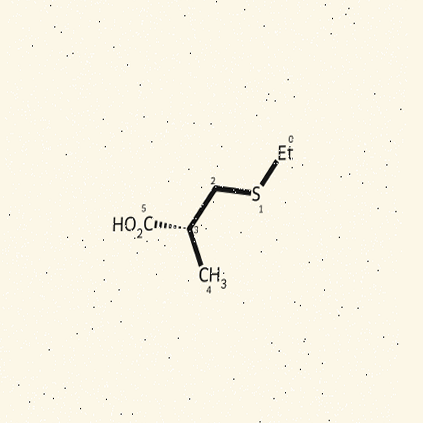 CCSC[C@H](C)C(=O)O